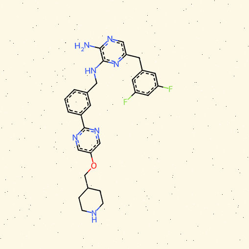 Nc1ncc(Cc2cc(F)cc(F)c2)nc1NCc1cccc(-c2ncc(OCC3CCNCC3)cn2)c1